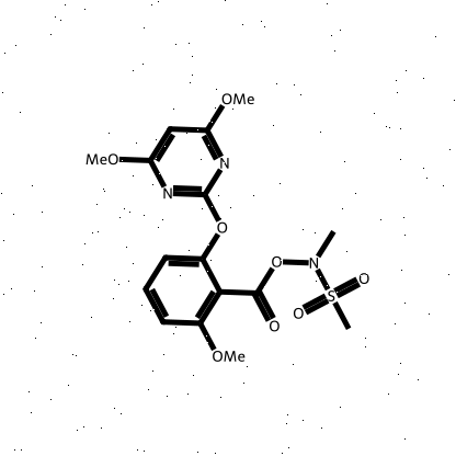 COc1cc(OC)nc(Oc2cccc(OC)c2C(=O)ON(C)S(C)(=O)=O)n1